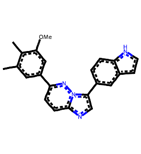 COc1cc(-c2ccc3ncc(-c4ccc5[nH]ccc5c4)n3n2)cc(C)c1C